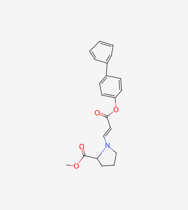 COC(=O)C1CCCN1/C=C/C(=O)Oc1ccc(-c2ccccc2)cc1